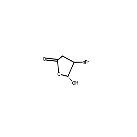 CCCC1CC(=O)O[C@H]1O